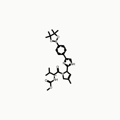 COC(=O)N[C@H](C(=O)N1CC(C)=CC1c1nc(-c2ccc(B3OC(C)(C)C(C)(C)O3)cc2)c[nH]1)C(C)C